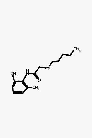 CCCCCNCC(=O)Nc1c(C)cccc1C